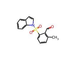 Cc1cccc(S(=O)(=O)n2ccc3ccccc32)c1C=O